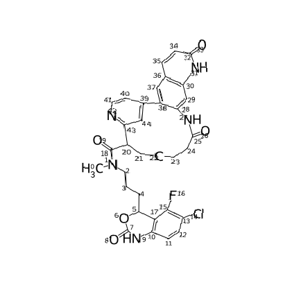 CN(CCCC1OC(=O)Nc2ccc(Cl)c(F)c21)C(=O)C1CCCCC(=O)Nc2cc3[nH]c(=O)ccc3cc2-c2ccnc1c2